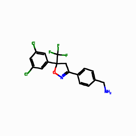 NCc1ccc(C2=NOC(c3cc(Cl)cc(Cl)c3)(C(F)(F)F)C2)cc1